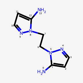 Nc1ccnn1CCn1nccc1N